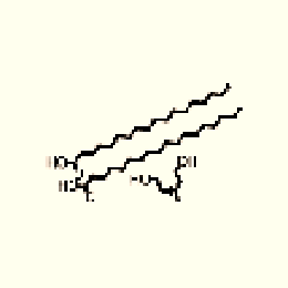 CCCCCCCCCCCCCCCC=CC(=O)O.CCCCCCCCCCCCCCCC=CC(=O)O.CN(CCO)CCO